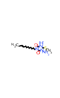 CCCCCCCCCCCCN1C(=O)NC(SC)N(N)C1=O